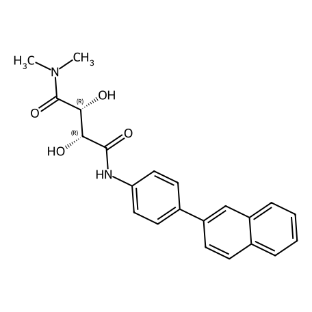 CN(C)C(=O)[C@H](O)[C@@H](O)C(=O)Nc1ccc(-c2ccc3ccccc3c2)cc1